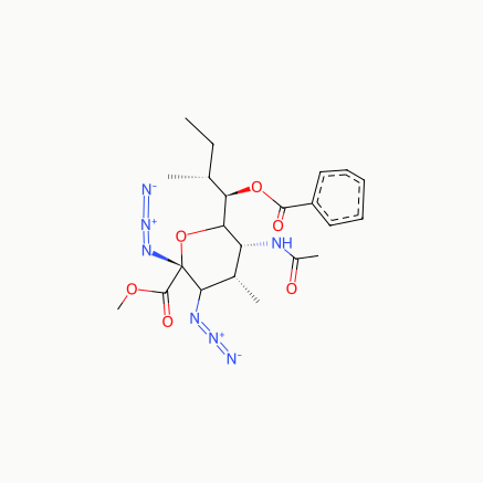 CC[C@@H](C)[C@@H](OC(=O)c1ccccc1)C1O[C@@](N=[N+]=[N-])(C(=O)OC)C(N=[N+]=[N-])[C@@H](C)[C@H]1NC(C)=O